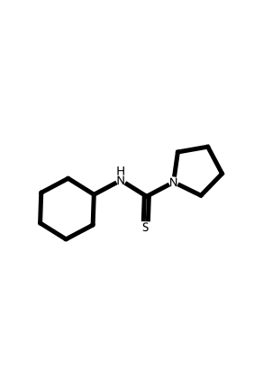 S=C(NC1CCCCC1)N1CCCC1